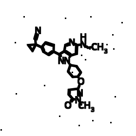 CCNc1cc2c(cn1)c(-c1ccc(C3(C#N)CC3)cc1)nn2C1CCC(Oc2ccc(=O)n(C)n2)CC1